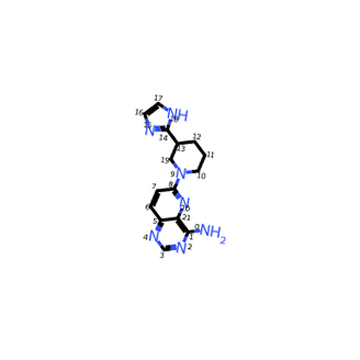 Nc1ncnc2ccc(N3CCCC(c4ncc[nH]4)C3)nc12